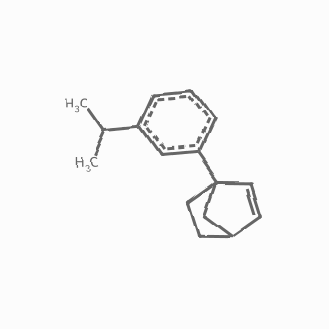 CC(C)c1cccc(C23C=CC(CC2)C3)c1